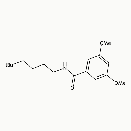 COc1cc(OC)cc(C(=O)NCCCCC(C)(C)C)c1